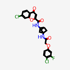 O=C(COc1ccc(Cl)c(F)c1)NC12CC(C1)C(NC(=O)c1cc(=O)c3ccc(Cl)cc3o1)C2